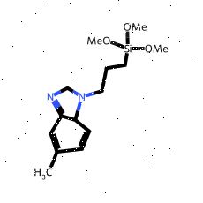 CO[Si](CCCN1CN=C2C=C(C)C=CC21)(OC)OC